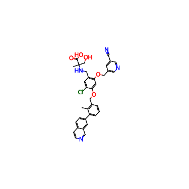 Cc1c(COc2cc(OCc3cncc(C#N)c3)c(CNC(C)(CO)C(=O)O)cc2Cl)cccc1-c1ccc2ccncc2c1